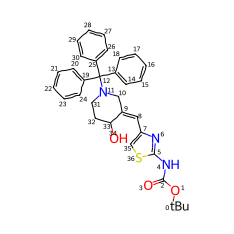 CC(C)(C)OC(=O)Nc1nc(/C=C2/CN(C(c3ccccc3)(c3ccccc3)c3ccccc3)CCC2O)cs1